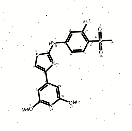 COc1cc(-c2csc(Nc3ccc(S(C)(=O)=O)c(Cl)c3)n2)cc(OC)n1